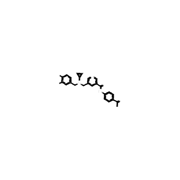 CC(=O)c1ccc(NC(=O)c2cncc(CN(Cc3ccc(F)c(F)c3)C3CC3)c2)cc1